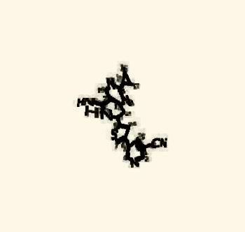 N#Cc1cncc(-c2csc(C3Cc4nc(C5CC5)ncc4C(=N)N3)c2)c1